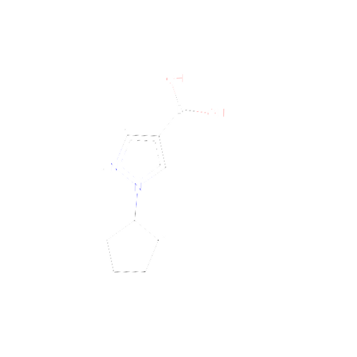 OB(O)c1cnn(C2CCCC2)c1